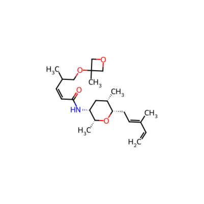 C=C/C(C)=C/C[C@@H]1O[C@H](C)[C@H](NC(=O)/C=C\C(C)COC2(C)COC2)C[C@@H]1C